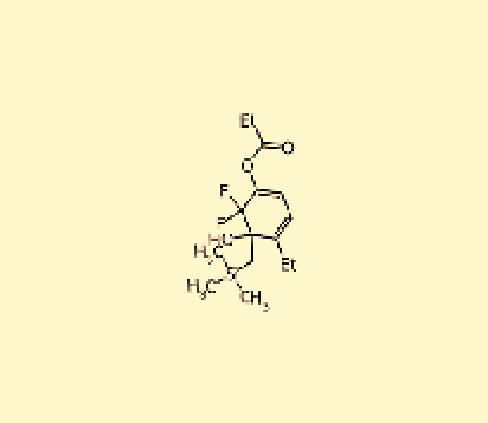 CCC(=O)OC1=CC=C(CC)C(O)(C[Si](C)(C)C)C1(F)F